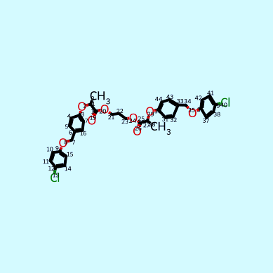 CC(Oc1ccc(COc2ccc(Cl)cc2)cc1)C(=O)OCCCOC(=O)C(C)Oc1ccc(COc2ccc(Cl)cc2)cc1